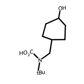 CC(C)(C)N(CC1CCC(O)CC1)C(=O)O